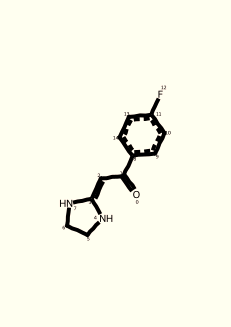 O=C(C=C1NCCN1)c1ccc(F)cc1